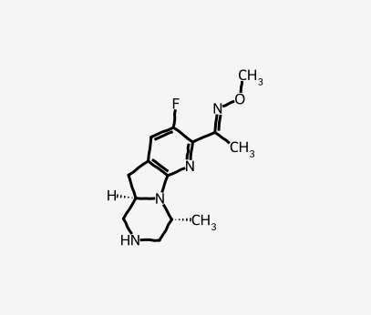 CO/N=C(\C)c1nc2c(cc1F)C[C@@H]1CNC[C@@H](C)N21